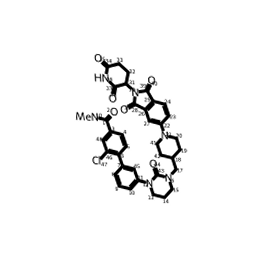 CNC(=O)c1ccc(-c2cccc(N3CCCN(CC4CCN(c5ccc6c(c5)C(=O)N(C5CCC(=O)NC5=O)C6=O)CC4)C3=O)c2)c(Cl)c1